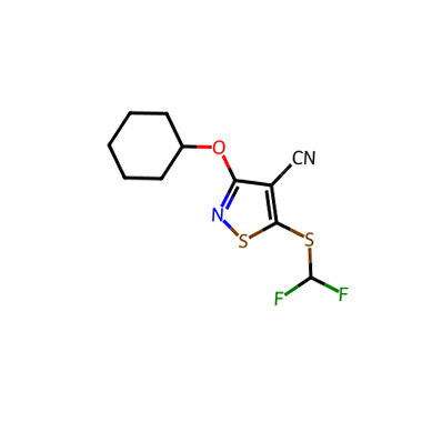 N#Cc1c(OC2CCCCC2)nsc1SC(F)F